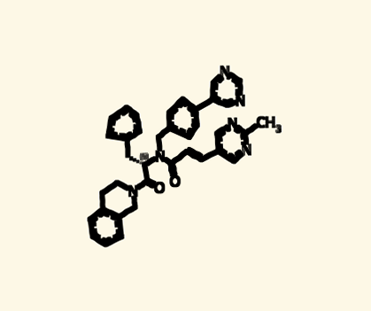 Cc1ncc(C=CC(=O)N(Cc2ccc(-c3cncnc3)cc2)[C@@H](Cc2ccccc2)C(=O)N2CCc3ccccc3C2)cn1